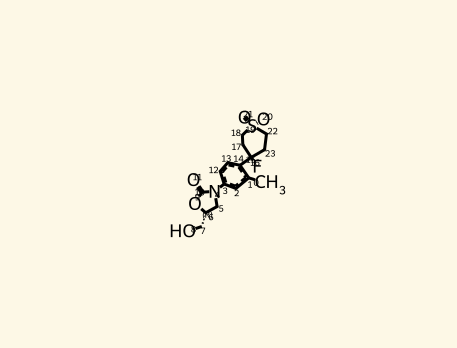 Cc1cc(N2C[C@H](CO)OC2=O)ccc1C1(F)CCS(=O)(=O)CC1